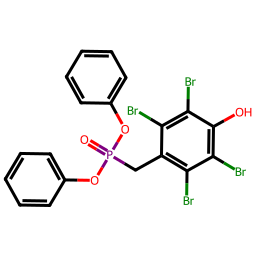 O=P(Cc1c(Br)c(Br)c(O)c(Br)c1Br)(Oc1ccccc1)Oc1ccccc1